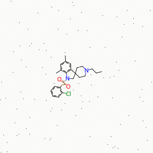 CCCN1CCC2(CC1)CN(S(=O)(=O)c1ccccc1Cl)c1c(C)cc(C)cc12